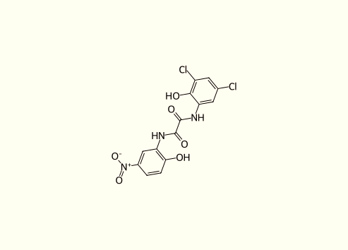 O=C(Nc1cc([N+](=O)[O-])ccc1O)C(=O)Nc1cc(Cl)cc(Cl)c1O